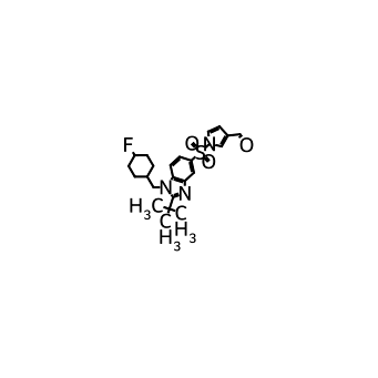 CC(C)(C)c1nc2cc(S(=O)(=O)n3ccc(C=O)c3)ccc2n1CC1CCC(F)CC1